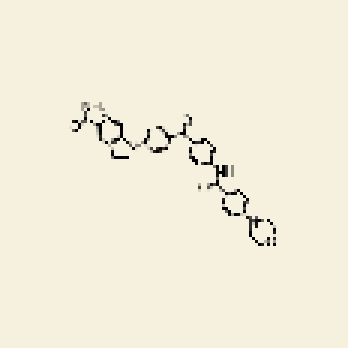 NC(=O)c1ccc2c(ccn2-c2ccc(C(=O)c3ccc(NC(=O)c4ccc(N5CCOCC5)cc4)cc3)cc2)c1